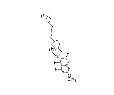 CCCCCCCC1CCC2C[C@H](c3c(F)cc4cc(OC)cc(F)c4c3F)CC[C@@H]2C1